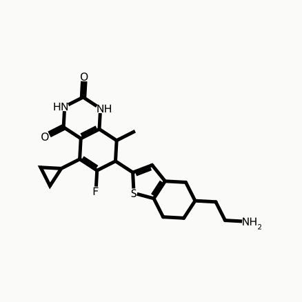 CC1c2[nH]c(=O)[nH]c(=O)c2C(C2CC2)=C(F)C1c1cc2c(s1)CCC(CCN)C2